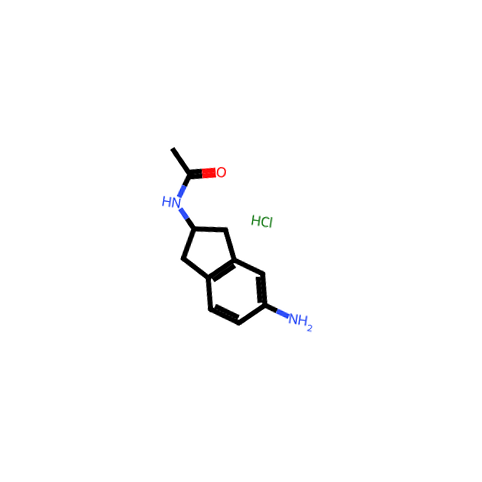 CC(=O)NC1Cc2ccc(N)cc2C1.Cl